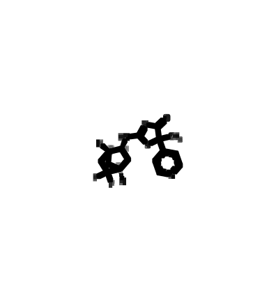 CC1(c2ccncc2)SC(N[C@H]2C[C@@H]3C[C@@H]2CC3(F)F)=NC1=O